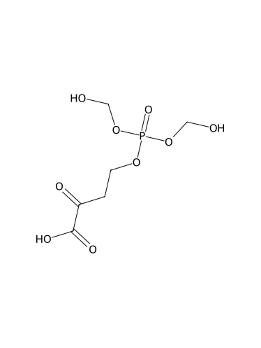 O=C(O)C(=O)CCOP(=O)(OCO)OCO